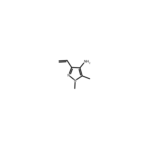 C=Cc1nn(C)c(C)c1N